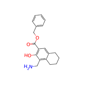 NCc1c(O)c(C(=O)OCc2ccccc2)cc2c1CCCC2